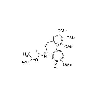 COc1cc2c(c(OC)c1OC)-c1ccc(OC)c(=O)cc1[C@@H](NC(=O)OC(C)OC(C)=O)CC2